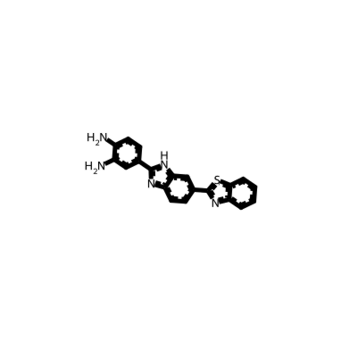 Nc1ccc(-c2nc3ccc(-c4nc5ccccc5s4)cc3[nH]2)cc1N